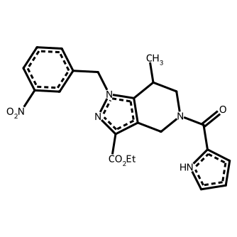 CCOC(=O)c1nn(Cc2cccc([N+](=O)[O-])c2)c2c1CN(C(=O)c1ccc[nH]1)CC2C